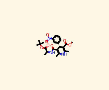 COC(=O)C1=C(C)NC(C)=C(C(=O)NC(C)C(=O)OC(C)(C)C)[C@@H]1c1cccc([N+](=O)[O-])c1